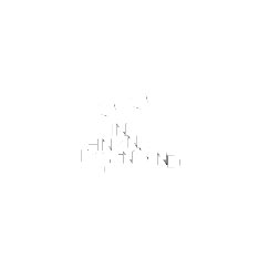 CCN1CCN(c2nc(NCC(c3ccccc3)c3ccccc3)c3c(n2)C(=O)C(C(C)C)N3)CC1